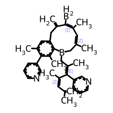 B/C1=C(C)/C=C(/C)CB(C/C(C)=C(\C(C)=C/C(=C)C)c2cccnc2)c2c(cc(C)c(-c3cccnc3)c2C)CC1=C